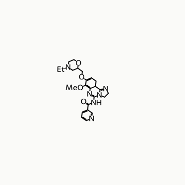 CCN1CCOC(COC2=CCC3C4=NCCN4C(NC(=O)c4cccnc4)=NC3=C2OC)C1